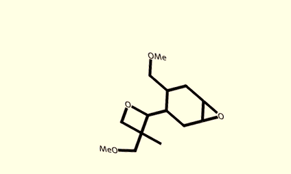 COCC1CC2OC2CC1C1OCC1(C)COC